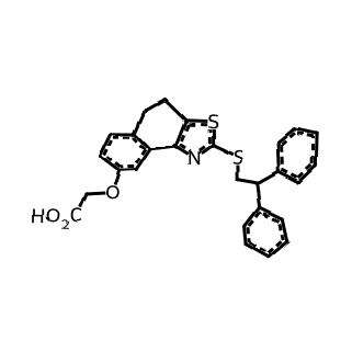 O=C(O)COc1ccc2c(c1)-c1nc(SCC(c3ccccc3)c3ccccc3)sc1CC2